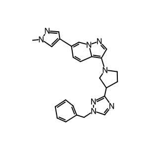 Cn1cc(-c2ccc3c(N4CCC(c5ncn(Cc6ccccc6)n5)C4)cnn3c2)cn1